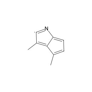 CC1=CC=C2N=[C]C(C)=C12